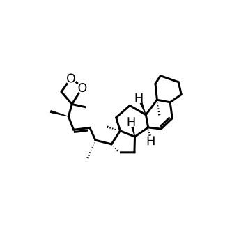 C[C@H](C=C[C@@H](C)C1(C)COO1)[C@H]1CC[C@H]2[C@@H]3C=CC4CCCC[C@]4(C)[C@H]3CC[C@]12C